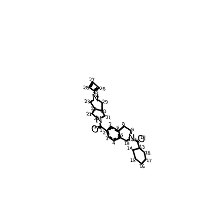 O=C(c1ccc2c(c1)CCN(C(=O)C1CCCCC1)C2)N1CC2CN(C3=CC=C3)CC2C1